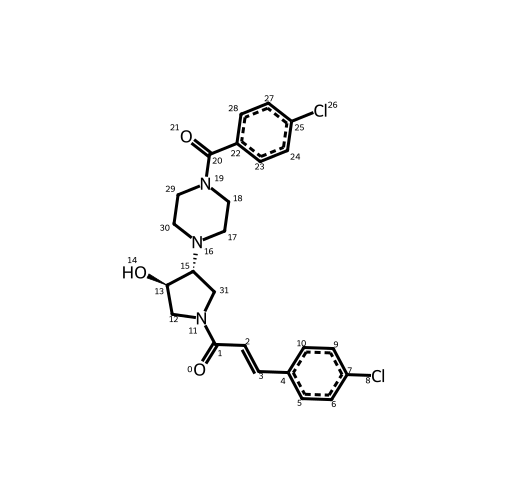 O=C(/C=C/c1ccc(Cl)cc1)N1C[C@@H](O)[C@H](N2CCN(C(=O)c3ccc(Cl)cc3)CC2)C1